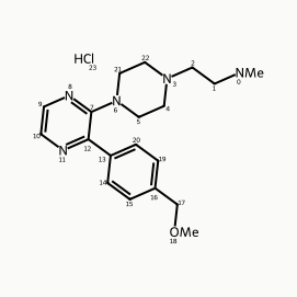 CNCCN1CCN(c2nccnc2-c2ccc(COC)cc2)CC1.Cl